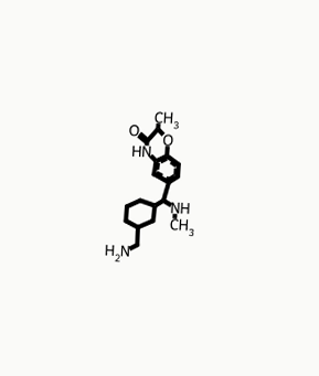 CNC(c1ccc2c(c1)NC(=O)C(C)O2)C1CCCC(CN)C1